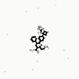 C=C(Cl)c1cc(-c2ccccc2)c(-c2ccc(C3(NC(=O)OC(C)(C)C)CCC3)cc2)nc1/C=C\N